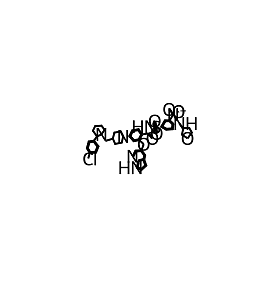 O=C(NS(=O)(=O)c1ccc(NC2CCOC2)c([N+](=O)[O-])c1)c1ccc(N2CCC(CN3CCCCC3c3ccc(Cl)cc3)CC2)cc1Oc1cnc2[nH]ccc2c1